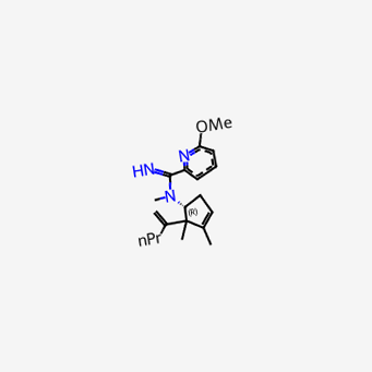 C=C(CCC)C1(C)C(C)=CC[C@H]1N(C)C(=N)c1cccc(OC)n1